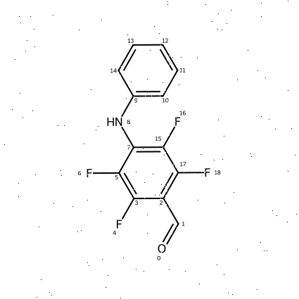 O=Cc1c(F)c(F)c(Nc2ccccc2)c(F)c1F